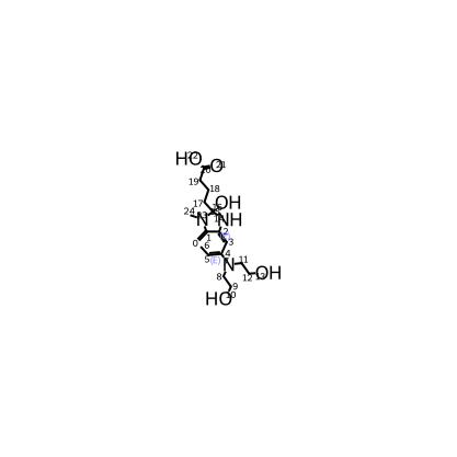 C=C1/C(=C\C(=C/C)N(CCO)CCO)NC(O)(CCCC(=O)O)N1C